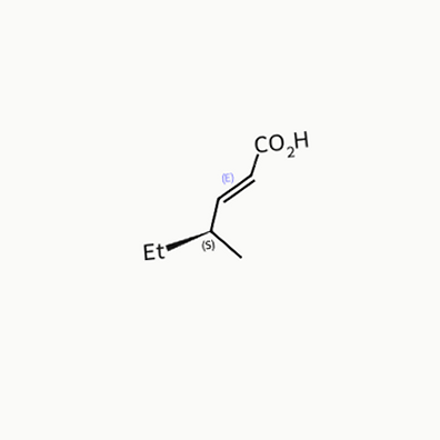 CC[C@H](C)/C=C/C(=O)O